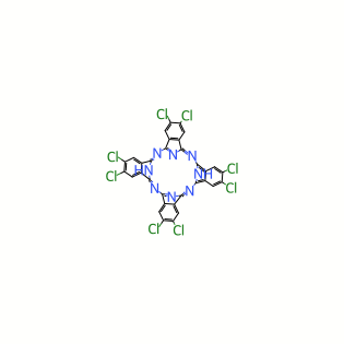 Clc1cc2c(cc1Cl)-c1nc-2nc2[nH]c(nc3nc(nc4[nH]c(n1)c1cc(Cl)c(Cl)cc41)-c1cc(Cl)c(Cl)cc1-3)c1cc(Cl)c(Cl)cc21